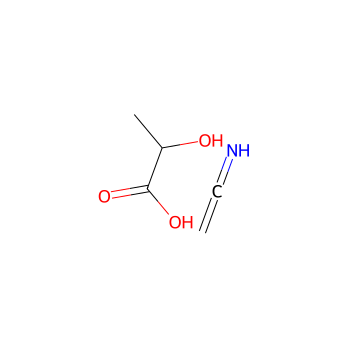 C=C=N.CC(O)C(=O)O